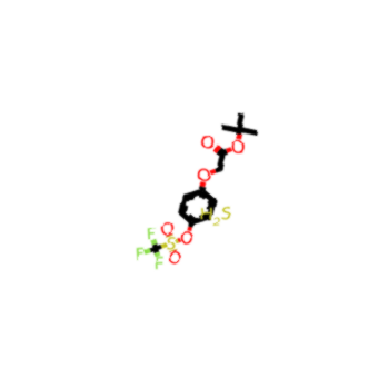 CC(C)(C)OC(=O)COc1ccc(OS(=O)(=O)C(F)(F)F)cc1.S